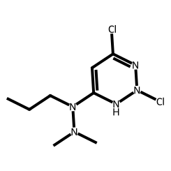 CCCN(C1=CC(Cl)=NN(Cl)N1)N(C)C